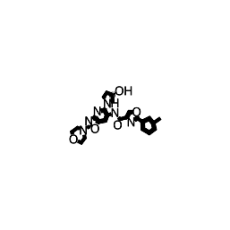 Cc1cccc(-c2nc(C(=O)Nc3cc4oc(N5CCOCC5)nc4nc3N3CC[C@H](O)C3)co2)c1